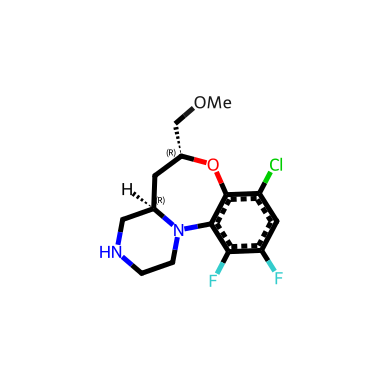 COC[C@H]1C[C@@H]2CNCCN2c2c(F)c(F)cc(Cl)c2O1